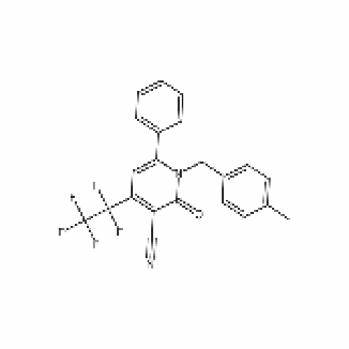 Cc1ccc(Cn2c(-c3ccccc3)cc(C(F)(F)C(F)(F)F)c(C#N)c2=O)cc1